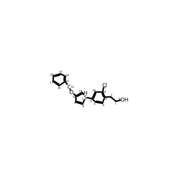 OCCc1ccc([SH]2C=CC(OCc3ccccc3)=C2)cc1Cl